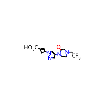 O=C1CN(CC(F)(F)F)CCN1c1cnn(C23CC(C(=O)O)(C2)C3)c1